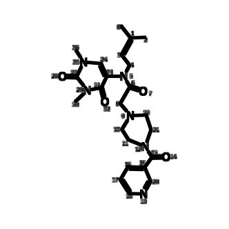 CC(C)=CCN(C(=O)CN1CCN(C(=O)c2cccnc2)CC1)c1cn(C)c(=O)n(C)c1=O